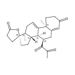 CC(=O)C(=O)[C@@H]1CC2=CC(=O)CC[C@]2(C)C2=CC[C@@]3(C)[C@@H](CC[C@@]34CCC(=O)O4)[C@@H]21